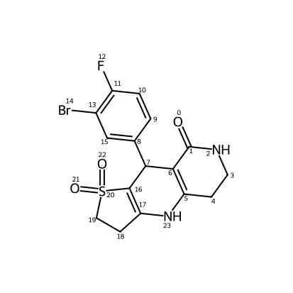 O=C1NCCC2=C1C(c1ccc(F)c(Br)c1)C1=C(CCS1(=O)=O)N2